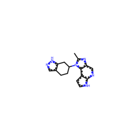 Cc1nc2cnc3[nH]ccc3c2n1C1CCc2cn[nH]c2C1